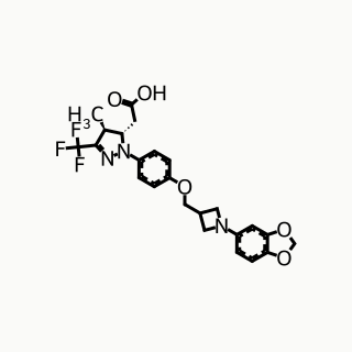 C[C@@H]1C(C(F)(F)F)=NN(c2ccc(OCC3CN(c4ccc5c(c4)OCO5)C3)cc2)[C@H]1CC(=O)O